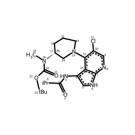 CC(C)C(=O)Nc1c[nH]c2ncc(Cl)c(N3CCC[C@@H](N(C)C(=O)OC(C)(C)C)C3)c12